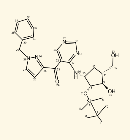 CC(C)(C)[Si](C)(C)O[C@H]1[C@H](O)[C@@H](CO)C[C@H]1Nc1ncncc1C(=O)c1ccn(Cc2ccccc2)n1